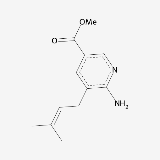 COC(=O)c1cnc(N)c(CC=C(C)C)c1